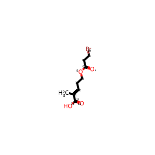 C/C(=C\CCOC(=O)CCBr)C(=O)O